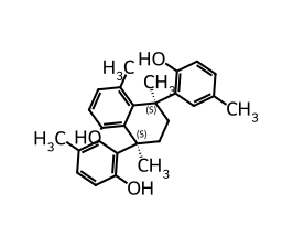 Cc1ccc(O)c([C@]2(C)CC[C@](C)(c3cc(C)ccc3O)c3c(C)ccc(O)c32)c1